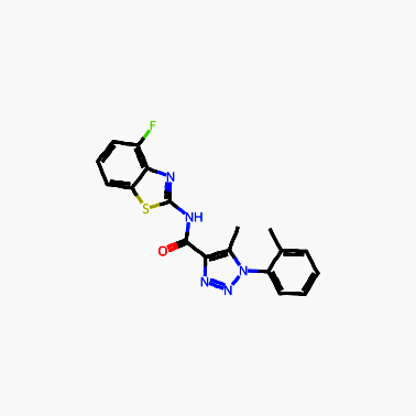 Cc1ccccc1-n1nnc(C(=O)Nc2nc3c(F)cccc3s2)c1C